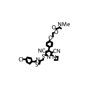 CN[C@@H](C)C(=O)OCCOc1ccc(-c2c(C#N)c(SCc3csc(-c4ccc(Cl)cc4)n3)nc(N3CCC3)c2C#N)cc1